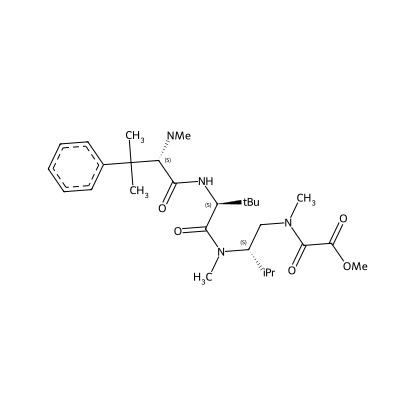 CN[C@H](C(=O)N[C@H](C(=O)N(C)[C@H](CN(C)C(=O)C(=O)OC)C(C)C)C(C)(C)C)C(C)(C)c1ccccc1